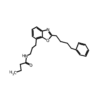 CCCC(=O)NCCCc1cccc2nc(CCCCc3ccccc3)oc12